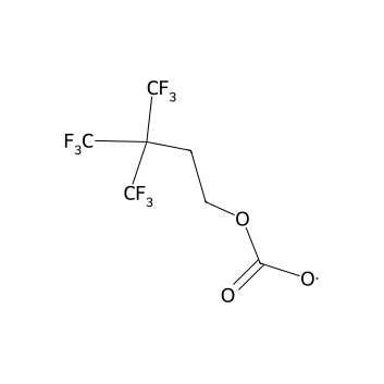 [O]C(=O)OCCC(C(F)(F)F)(C(F)(F)F)C(F)(F)F